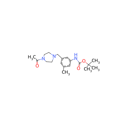 CC(=O)N1CCN(Cc2cc(C)cc(NC(=O)OC(C)(C)C)c2)CC1